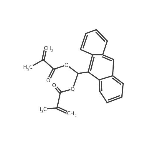 C=C(C)C(=O)OC(OC(=O)C(=C)C)c1c2ccccc2cc2ccccc12